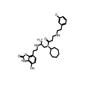 CC(CN(C(=O)CCNCCc1cccc(F)c1)C1CCCCCC1)NCCc1ccc(O)c2[nH]c(=O)sc12